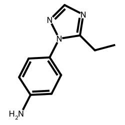 CCc1ncnn1-c1ccc(N)cc1